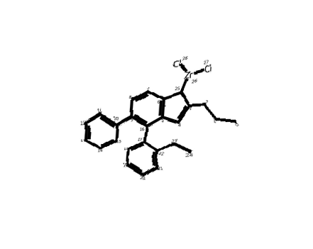 CCCC1=Cc2c(ccc(-c3ccccc3)c2-c2ccccc2CC)[CH]1[Zr]([Cl])[Cl]